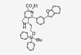 CCOC(=O)c1cc2c(c(-c3cccc(-c4cc5ccccc5o4)c3)n1)[C@@H](CCO[Si](c1ccccc1)(c1ccccc1)C(C)(C)C)NC2